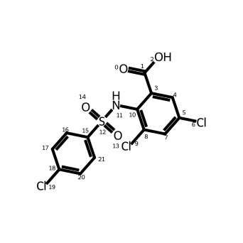 O=C(O)c1cc(Cl)cc(Cl)c1NS(=O)(=O)c1ccc(Cl)cc1